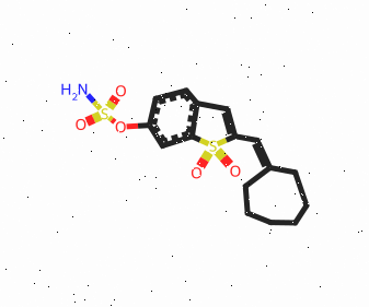 NS(=O)(=O)Oc1ccc2c(c1)S(=O)(=O)C(C=C1CCCCCC1)=C2